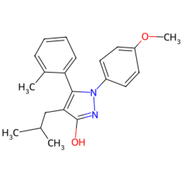 COc1ccc(-n2nc(O)c(CC(C)C)c2-c2ccccc2C)cc1